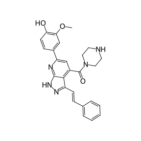 COc1cc(-c2cc(C(=O)N3CCNCC3)c3c(/C=C/c4ccccc4)n[nH]c3n2)ccc1O